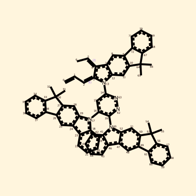 C=C/C=c1\c(=C/C)c2cc3c(cc2n1-c1cc(-n2c4ccccc4c4cc5c(cc42)C(C)(C)c2ccccc2-5)c(-n2c4ccccc4c4cc5c(cc42)C(C)(C)c2ccccc2-5)nn1)C(C)(C)c1ccccc1-3